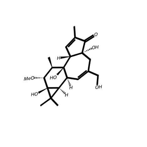 CO[C@@H]1[C@@H](C)[C@@]2(O)[C@@H](C=C(CO)C[C@]3(O)C(=O)C(C)=C[C@@H]23)[C@H]2C(C)(C)[C@]12O